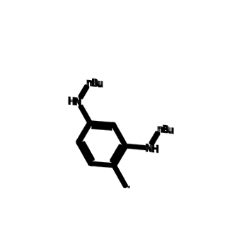 [CH2]c1ccc(NCCCC)cc1NCCCC